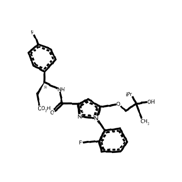 CC(C)C(C)(O)COc1cc(C(=O)N[C@@H](CC(=O)O)c2ccc(F)cc2)nn1-c1ccccc1F